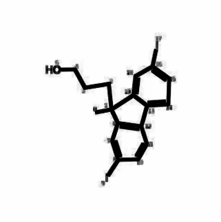 CC1(CCCO)c2cc(I)ccc2-c2ccc(I)cc21